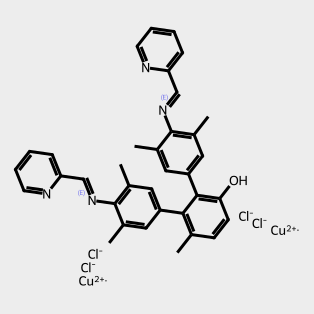 Cc1cc(-c2c(C)ccc(O)c2-c2cc(C)c(/N=C/c3ccccn3)c(C)c2)cc(C)c1/N=C/c1ccccn1.[Cl-].[Cl-].[Cl-].[Cl-].[Cu+2].[Cu+2]